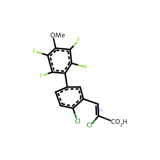 COc1c(F)c(F)c(-c2ccc(Cl)c(/C=C(\Cl)C(=O)O)c2)c(F)c1F